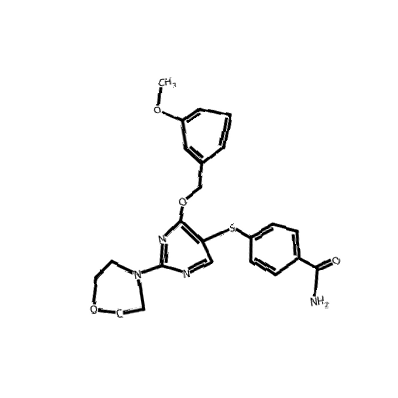 COc1cccc(COc2nc(N3CCOCC3)ncc2Sc2ccc(C(N)=O)cc2)c1